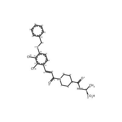 C[C@H](NC(=O)C1CCN(C(=O)/C=C/c2ccc(SCc3ccccc3)c(Cl)c2Cl)CC1)C(=O)O